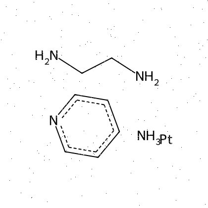 N.NCCN.[Pt].c1ccncc1